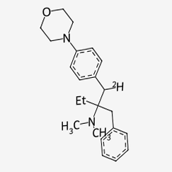 [2H]C(c1ccc(N2CCOCC2)cc1)C(CC)(Cc1ccccc1)N(C)C